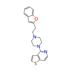 c1ccc2oc(CCN3CCN(c4nccc5sccc45)CC3)cc2c1